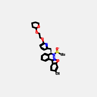 CC(C)(C)[S@+]([O-])N[C@@H](Cc1cccc(OCCOC2CCCCO2)n1)c1ccccc1-c1noc2cc(C#N)ccc12